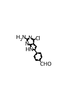 Nc1nc(Cl)c2cc(-c3ccc(C=O)cc3)[nH]c2n1